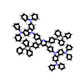 c1ccc(B2c3ccccc3B(c3ccc(-c4cc(-c5ccc(-n6c7ccc(N(c8ccccc8)c8ccccc8)cc7c7cc(N(c8ccccc8)c8ccccc8)ccc76)cc5)c(-c5ccc(B6c7ccccc7B(c7ccccc7)c7ccccc76)cc5)nc4-c4ccc(-n5c6ccc(N(c7ccccc7)c7ccccc7)cc6c6cc(N(c7ccccc7)c7ccccc7)ccc65)cc4)cc3)c3ccccc32)cc1